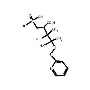 CC(C)(SSc1ccccn1)C(C)(C)C(CP(=O)(O)O)C(=O)O